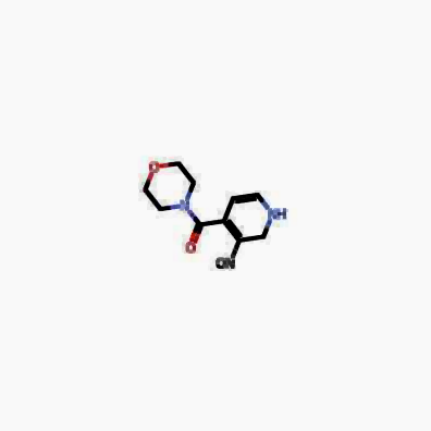 O=NC1=C(C(=O)N2CCOCC2)C=CNC1